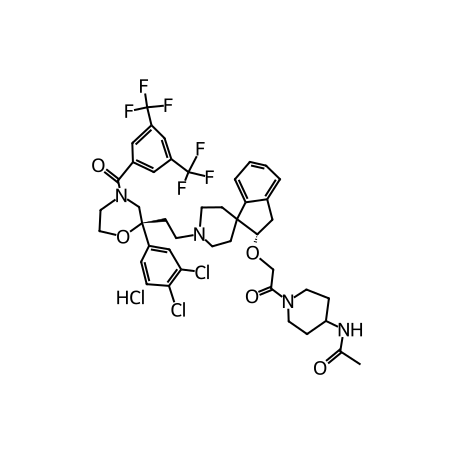 CC(=O)NC1CCN(C(=O)CO[C@H]2Cc3ccccc3C23CCN(CC[C@]2(c4ccc(Cl)c(Cl)c4)CN(C(=O)c4cc(C(F)(F)F)cc(C(F)(F)F)c4)CCO2)CC3)CC1.Cl